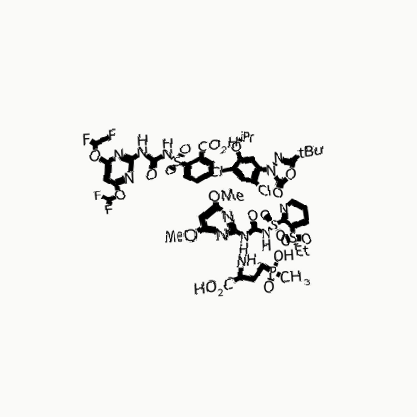 CC(C)Oc1cc(-n2nc(C(C)(C)C)oc2=O)c(Cl)cc1Cl.CCS(=O)(=O)c1cccnc1S(=O)(=O)NC(=O)Nc1nc(OC)cc(OC)n1.CP(=O)(O)CCC(N)C(=O)O.O=C(Nc1nc(OC(F)F)cc(OC(F)F)n1)NS(=O)(=O)c1ccccc1C(=O)O